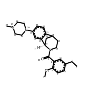 CCc1ccc(OC)c(C(=O)N2CCC3C[C@@H]2c2cc(N4CCN(C)CC4)ccc23)c1